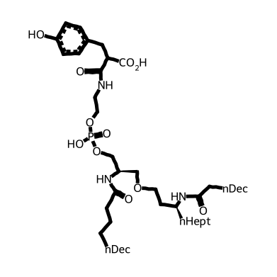 CCCCCCCCCCCCCC(=O)N[C@H](COCC[C@H](CCCCCCC)NC(=O)CCCCCCCCCCC)COP(=O)(O)OCCNC(=O)C(Cc1ccc(O)cc1)C(=O)O